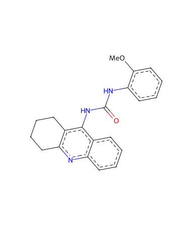 COc1ccccc1NC(=O)Nc1c2c(nc3ccccc13)CCCC2